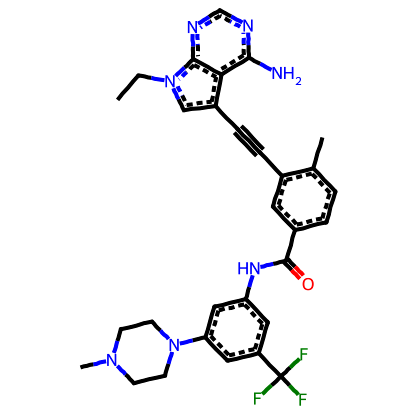 CCn1cc(C#Cc2cc(C(=O)Nc3cc(N4CCN(C)CC4)cc(C(F)(F)F)c3)ccc2C)c2c(N)ncnc21